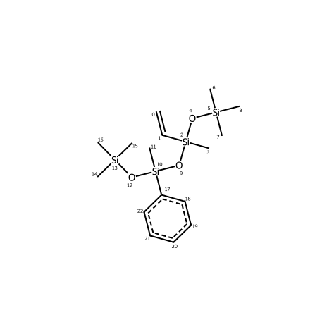 C=C[Si](C)(O[Si](C)(C)C)O[Si](C)(O[Si](C)(C)C)c1ccccc1